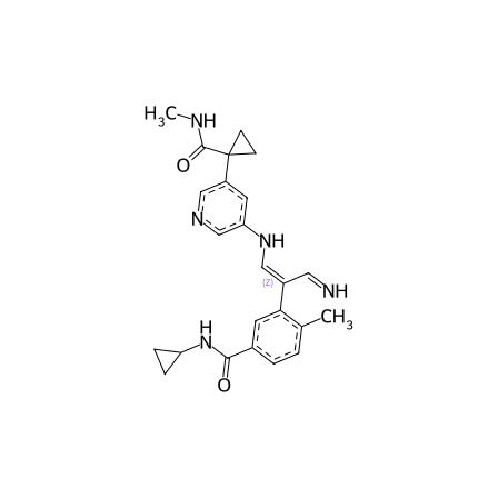 CNC(=O)C1(c2cncc(N/C=C(\C=N)c3cc(C(=O)NC4CC4)ccc3C)c2)CC1